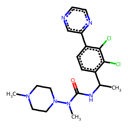 CC(NC(=O)N(C)N1CCN(C)CC1)c1ccc(-c2cnccn2)c(Cl)c1Cl